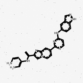 C=C(NC(/C=C\N)=C/N)c1cn2ccc(-c3nccc(Nc4ccc5[nH]ncc5c4)n3)cc2n1